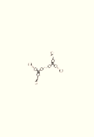 Cc1cc(N(c2ccc(CCc3ccc(N(c4ccc(COC5CCCCO5)c(C)c4)c4ccc(COC5CCCCO5)c(C)c4)cc3)cc2)c2ccc(COC3CCCCO3)c(C)c2)ccc1COC1CCCCO1